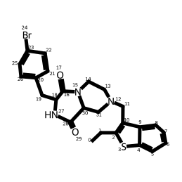 CCc1sc2ccccc2c1CN1CCN2C(=O)C(Cc3ccc(Br)cc3)NC(=O)C2C1